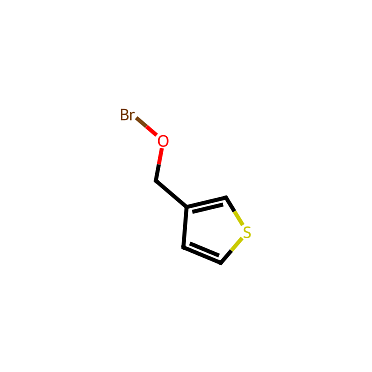 BrOCc1ccsc1